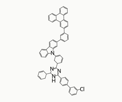 Clc1cccc(-c2ccc(C3=NC(C4C=CC=C(n5c6ccccc6c6ccc(-c7cccc(-c8ccc9c%10ccccc%10c%10ccccc%10c9c8)c7)cc65)C4)=NC(C4C=CC=CC4)N3)cc2)c1